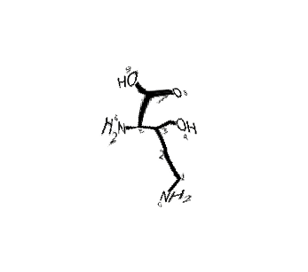 NCCC(O)[C@@H](N)C(=O)O